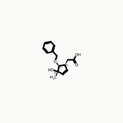 C[C@]1(O)C=C[C@H](CC(=O)O)[C@@H]1OCc1ccccc1